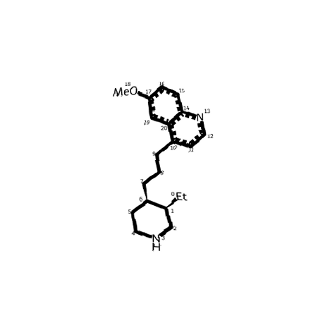 CC[C@H]1CNCC[C@H]1CCCc1ccnc2ccc(OC)cc12